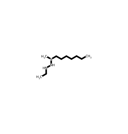 CCCCCCCN(C)NNCC